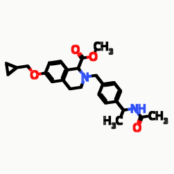 COC(=O)C1c2ccc(OCC3CC3)cc2CCN1Cc1ccc(C(C)NC(C)=O)cc1